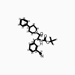 CC(C)(C)OC(=O)N[C@@H](Cc1cccc(C#N)c1)C(=O)N1CCC(c2ccccc2)CC1